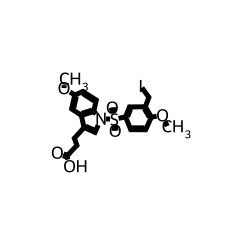 COc1ccc2c(c1)c(CCC(=O)O)cn2S(=O)(=O)c1ccc(OC)c(CI)c1